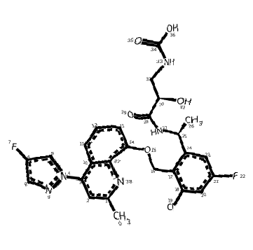 Cc1cc(-n2cc(F)cn2)c2cccc(OCc3c(Cl)cc(F)cc3[C@H](C)NC(=O)[C@H](O)CNC(=O)O)c2n1